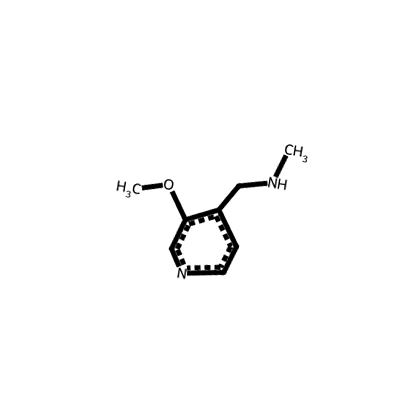 CNCc1ccncc1OC